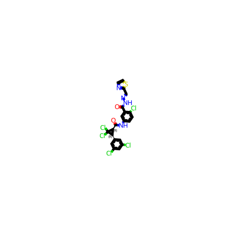 O=C(NN=Cc1nccs1)c1cc(NC(=O)[C@H]2[C@H](c3cc(Cl)cc(Cl)c3)C2(Cl)Cl)ccc1Cl